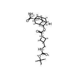 CC(C)(C)OC(=O)NCC1CN(C(=O)OC2C3CC4C[C@@H]2C[C@@](C(N)=O)(C4)C3)C1